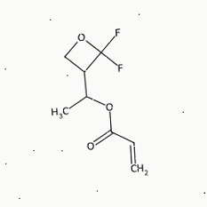 C=CC(=O)OC(C)C1COC1(F)F